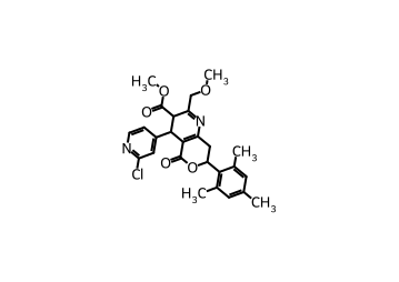 COCC1=NC2=C(C(=O)OC(c3c(C)cc(C)cc3C)C2)C(c2ccnc(Cl)c2)C1C(=O)OC